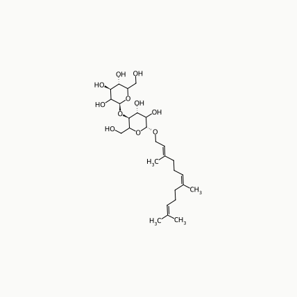 CC(C)=CCC/C(C)=C\CC/C(C)=C/CO[C@@H]1OC(CO)[C@@H](O[C@@H]2OC(CO)[C@@H](O)[C@H](O)C2O)[C@H](O)C1O